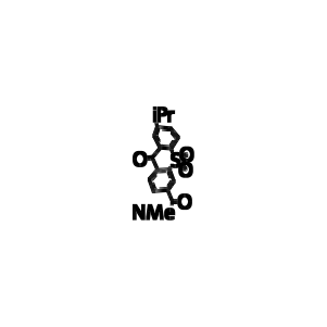 CNC(=O)c1ccc2c(c1)S(=O)(=O)c1ccc(C(C)C)cc1C2=O